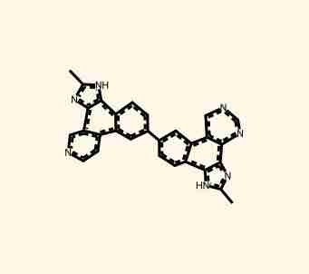 Cc1nc2c3cnccc3c3cc(-c4ccc5c(c4)c4cncnc4c4nc(C)[nH]c54)ccc3c2[nH]1